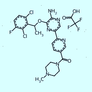 CC(Oc1nc(-c2ccc(C(=O)N3CCN(C)CC3)cn2)cnc1N)c1c(Cl)ccc(F)c1Cl.O=C(O)C(F)(F)F